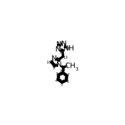 CC(c1ccccc1)n1ccnc1Cc1nnn[nH]1